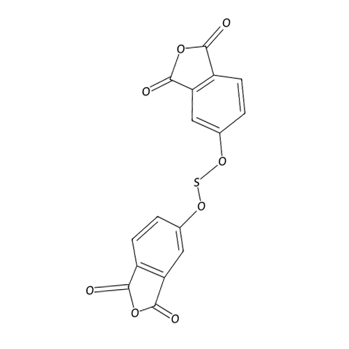 O=C1OC(=O)c2cc(OSOc3ccc4c(c3)C(=O)OC4=O)ccc21